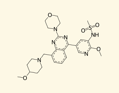 COc1ncc(-c2nc(N3CCOCC3)nc3c(CN4CCC(OC)CC4)cccc23)cc1NS(C)(=O)=O